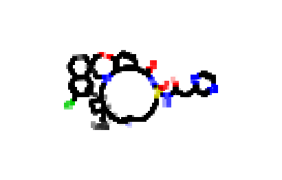 CO[C@H]1/C=C/CCCS(=O)(NC(=O)Cc2cnccn2)=NC(=O)c2ccc3c(c2)N(C[C@@H]2CC[C@H]21)C[C@@]1(CCCc2cc(Cl)ccc21)CO3